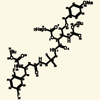 CCCCCCCC(=O)OC(C(=O)NCC(C)(C)CNC(=O)CC(Cc1cc(F)ccc1F)NC(=O)OC(C)(C)C)C(COCc1ccc(OC)cc1)NC(=O)OC(C)(C)C